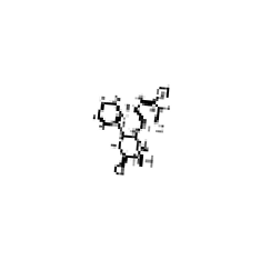 O=C1CC(c2ccccc2)C(c2ccc(Cl)cc2)=NN1